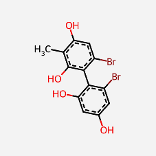 Cc1c(O)cc(Br)c(-c2c(O)cc(O)cc2Br)c1O